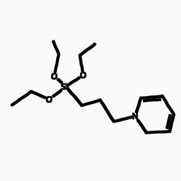 CCO[Si](CCCN1C=CC=CC1)(OCC)OCC